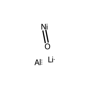 [Al].[Li].[O]=[Ni]